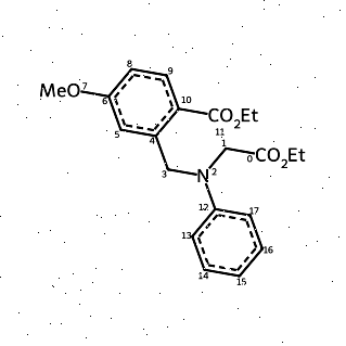 CCOC(=O)CN(Cc1cc(OC)ccc1C(=O)OCC)c1ccccc1